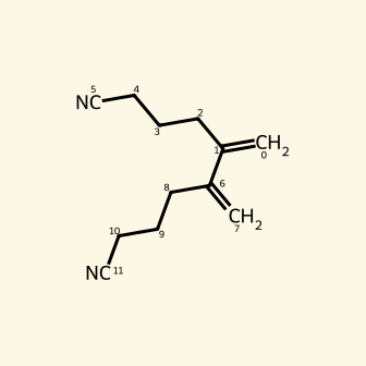 C=C(CCCC#N)C(=C)CCCC#N